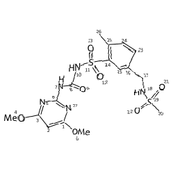 COc1cc(OC)nc(NC(=O)NS(=O)(=O)c2cc(CNS(C)(=O)=O)ccc2C)n1